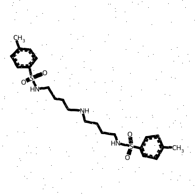 Cc1ccc(S(=O)(=O)NCCCCNCCCCNS(=O)(=O)c2ccc(C)cc2)cc1